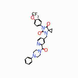 O=C(c1cc(CN2C(=O)N(c3ccc(OC(F)(F)F)cc3)C(=O)C23CC3)ccn1)N1CCN(c2ccccc2)CC1